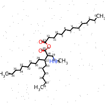 CCCCCCCCCCCCCC(=O)OC(=O)C(CNC)C(CCCCCC)CCCCCCCCC